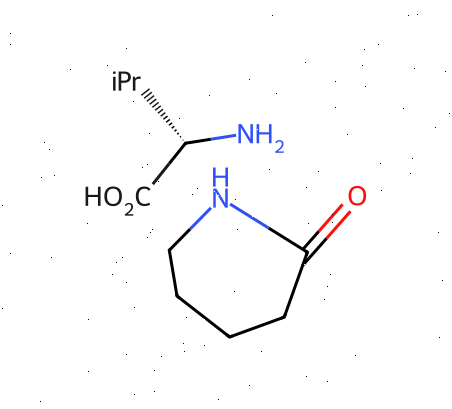 CC(C)[C@H](N)C(=O)O.O=C1CCCCN1